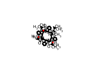 COc1cccc(OC)c1-c1c2nc(c(-c3c(NC(=O)[C@H]4CC4(C)C)cccc3NC(=O)[C@@H]3CC3(C)C)c3ccc([nH]3)c(-c3c(OC)cccc3OC)c3nc(c(-c4c(NC(=O)[C@H]5CC5(C)C)cccc4NC(=O)[C@@H]4CC4(C)C)c4ccc1[nH]4)C=C3)C=C2